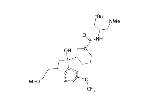 CNCC(CC(C)(C)C)NC(=O)N1CCCC(C(O)(CCCCOC)c2cccc(OC(F)(F)F)c2)C1